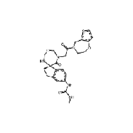 CNC(=O)Nc1ccc2c(c1)CC[C@]21NCOCN(CC(=O)N2CCOc3ccsc3C2)C1=O